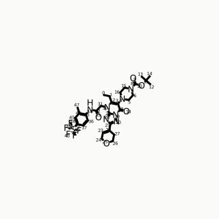 CCc1c(N2CCN(C(=O)OC(C)(C)C)CC2)c(=O)n2nc(C3=CCOCC3)nc2n1CC(=O)Nc1ccc(S(F)(F)(F)(F)F)cc1C